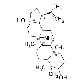 C=C(C)[C@@H]1CC[C@]2(O)CC[C@]3(N)C(CCC4[C@@]5(C)CCC(O)C(C)(C)C5CC[C@]43C)C12